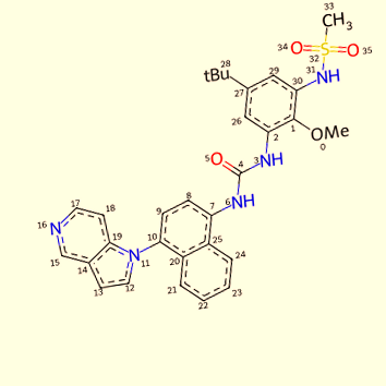 COc1c(NC(=O)Nc2ccc(-n3ccc4cnccc43)c3ccccc23)cc(C(C)(C)C)cc1NS(C)(=O)=O